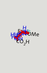 CCc1cc(Nc2nccn3c(-c4ccc(OC)c(F)c4F)cnc23)ccc1C(=O)NCCNC(=O)[C@@H](N)CCCN/C(=N\C1=CCC1)NCCCC(=O)O